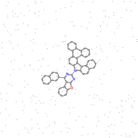 c1ccc2cc(-c3nc(-n4c5ccc6ccccc6c5c5c6c7ccccc7c7ccccc7c6ccc54)nc4oc5ccccc5c34)ccc2c1